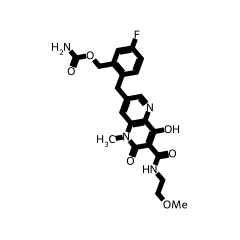 COCCNC(=O)c1c(O)c2ncc(Cc3ccc(F)cc3COC(N)=O)cc2n(C)c1=O